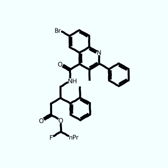 CCCC(F)OC(=O)CC(CNC(=O)c1c(C)c(-c2ccccc2)nc2ccc(Br)cc12)c1ccccc1C